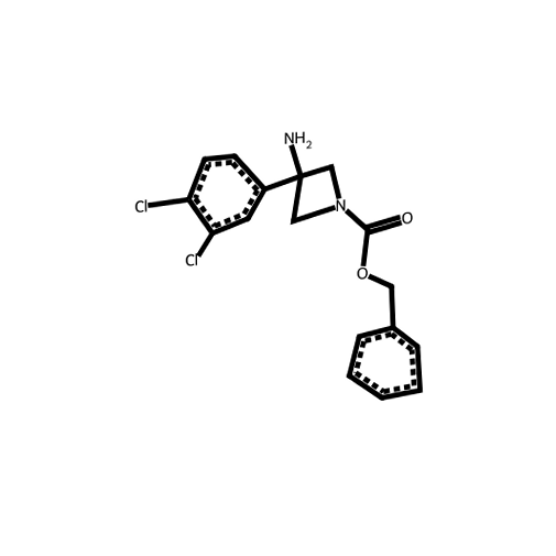 NC1(c2ccc(Cl)c(Cl)c2)CN(C(=O)OCc2ccccc2)C1